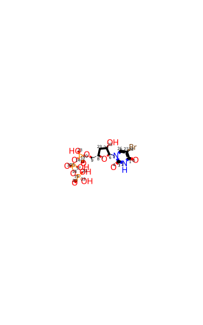 O=c1[nH]c(=O)n([C@@H]2O[C@H](COP(=O)(O)OP(=O)(O)OP(=O)(O)O)C[C@H]2O)cc1Br